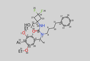 CCOc1cc(C(C)N(CCCCc2ccccc2)C(=O)NC2(C(=O)O)CC(F)(F)C2)cc(OCC)c1C(C)=O